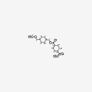 CC(C)(C)OCC1CCC(COC(=O)C2CCC(C(=O)C(C)(C)C)CC2)CC1